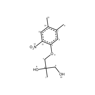 Cc1cc(OCC(C)(O)CO)c([N+](=O)[O-])cc1C